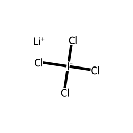 Cl[I-](Cl)(Cl)Cl.[Li+]